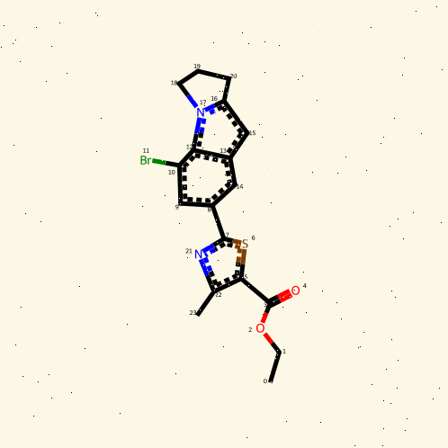 CCOC(=O)c1sc(-c2cc(Br)c3c(c2)cc2n3CCC2)nc1C